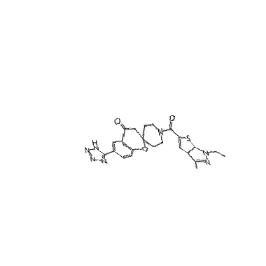 CCN1N=C(C)C2C=C(C(=O)N3CCC4(CC3)CC(=O)c3cc(-c5nnn[nH]5)ccc3O4)SC21